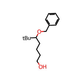 CC(C)(C)C(CCCCO)OCc1ccccc1